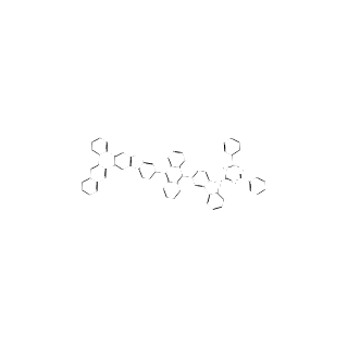 c1ccc(-c2nc(-c3ccccc3)nc(-n3c4ccccc4c4cc(-c5c6ccccc6c(-c6ccc7c(c6)oc6cc8c9ccccc9c9cc%10ccccc%10cc9c8cc67)c6ccccc56)ccc43)n2)cc1